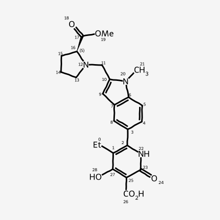 CCc1c(-c2ccc3c(c2)cc(CN2CCC[C@H]2C(=O)OC)n3C)[nH]c(=O)c(C(=O)O)c1O